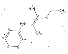 CCC/C(N)=C(\C)Nc1ccccc1